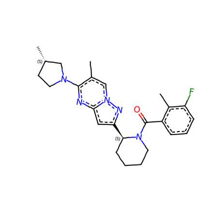 Cc1cn2nc([C@@H]3CCCCN3C(=O)c3cccc(F)c3C)cc2nc1N1CC[C@H](C)C1